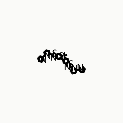 C[Si]1(C)c2cc3sc(-c4cccc(-c5ccccn5)n4)nc3cc2-c2cc3nc(-c4cccc(-c5ccccn5)n4)sc3cc21